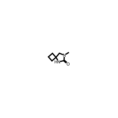 CN1CC2(CCC2)NC1=O